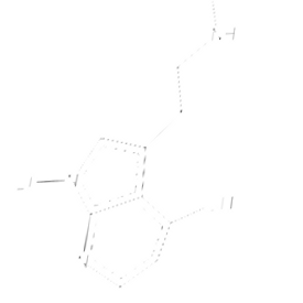 CCNCCc1cn(CC)c2nccc(O)c12